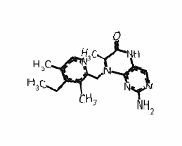 CCc1c(C)cnc(CN2c3nc(N)ncc3NC(=O)[C@@H]2C)c1C